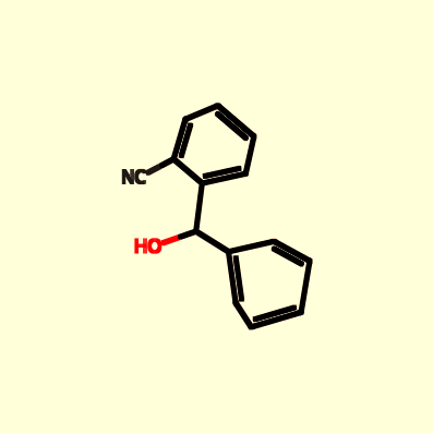 N#Cc1ccccc1C(O)c1ccccc1